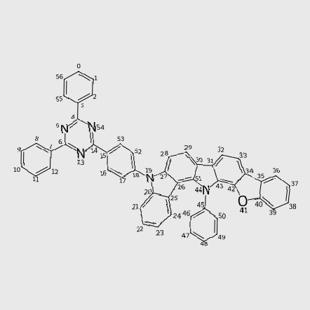 c1ccc(-c2nc(-c3ccccc3)nc(-c3ccc(-n4c5ccccc5c5c4ccc4c6ccc7c8ccccc8oc7c6n(-c6ccccc6)c45)cc3)n2)cc1